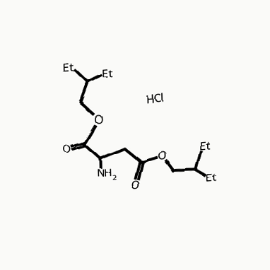 CCC(CC)COC(=O)CC(N)C(=O)OCC(CC)CC.Cl